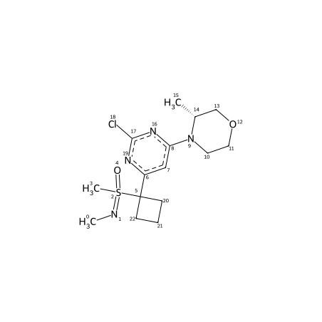 CN=S(C)(=O)C1(c2cc(N3CCOC[C@H]3C)nc(Cl)n2)CCC1